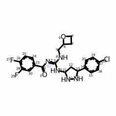 O=C(/N=C(/NCC1CCO1)NC1CC(c2ccc(Cl)cc2)NN1)c1ccc(F)c(F)c1